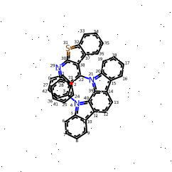 c1ccc(-n2c3ccccc3c3ccc4c5ccccc5n(-c5c6ccccc6nc6sc7ccccc7c56)c4c32)cc1